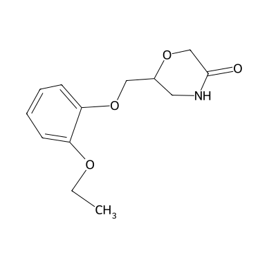 CCOc1ccccc1OCC1CNC(=O)CO1